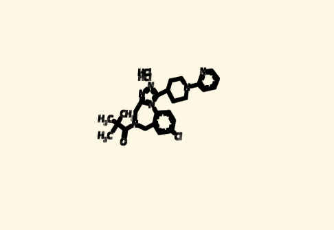 CC(C)(C)C(=O)N1Cc2cc(Cl)ccc2-n2c(nnc2C2CCN(c3ccccn3)CC2)C1.Cl.Cl